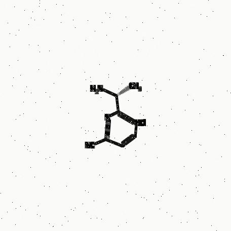 C[C@@H](N)c1cccc(C#N)n1.Cl